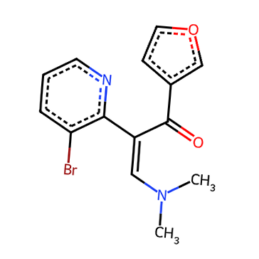 CN(C)/C=C(\C(=O)c1ccoc1)c1ncccc1Br